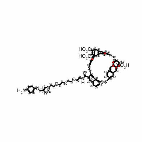 Nc1ccc(NCc2cn(CCOCCOCCOCCNC(=O)c3cc4cccc5c4cc3SSc3ccc4c(c3)C3c6ccc(cc6C4C(C(=O)O)C3C(=O)O)SSc3ccc4c(c3)C3c6ccc(cc6C4C(C(=O)O)C3C(=O)O)SS5)nn2)cc1